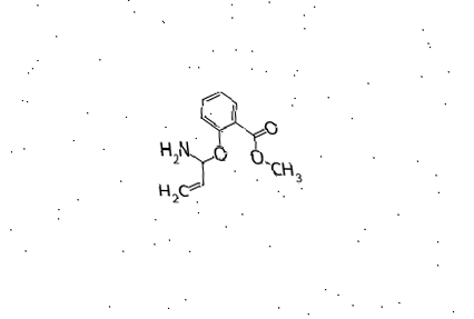 C=CC(N)Oc1ccccc1C(=O)OC